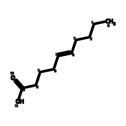 CCCC/C=C/CCCC(=O)O